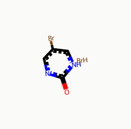 Br.O=c1ncc(Br)c[nH]1